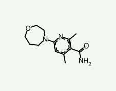 Cc1cc(N2CCCOCC2)nc(C)c1C(N)=O